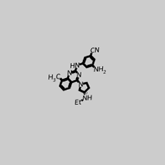 CCN[C@H]1CCN(c2nc(Nc3cc(N)cc(C#N)c3)nc3c(C)cccc23)C1